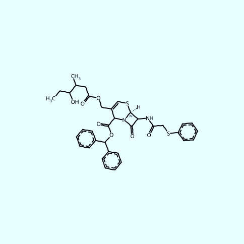 CCC(O)C(C)CC(=O)OCC1=CS[C@H]2C(NC(=O)CSc3ccccc3)C(=O)N2C1C(=O)OC(c1ccccc1)c1ccccc1